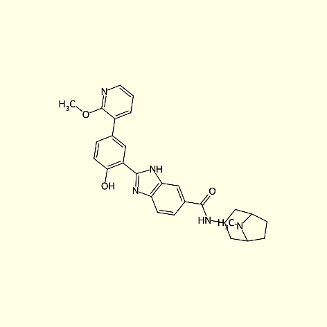 COc1ncccc1-c1ccc(O)c(-c2nc3ccc(C(=O)NC4CC5CCC(C4)N5C)cc3[nH]2)c1